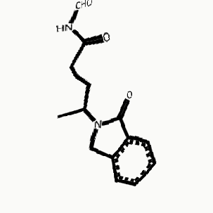 CC(CCC(=O)NC=O)N1Cc2ccccc2C1=O